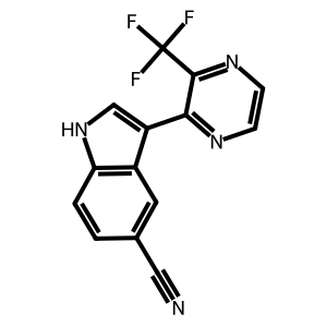 N#Cc1ccc2[nH]cc(-c3nccnc3C(F)(F)F)c2c1